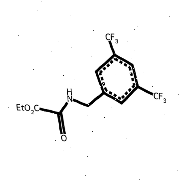 CCOC(=O)C(=O)NCc1cc(C(F)(F)F)cc(C(F)(F)F)c1